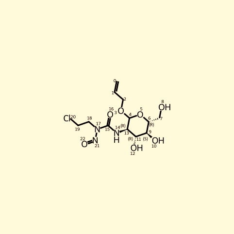 C=CCOC1O[C@H](CO)[C@@H](O)[C@H](O)[C@H]1NC(=O)N(CCCl)N=O